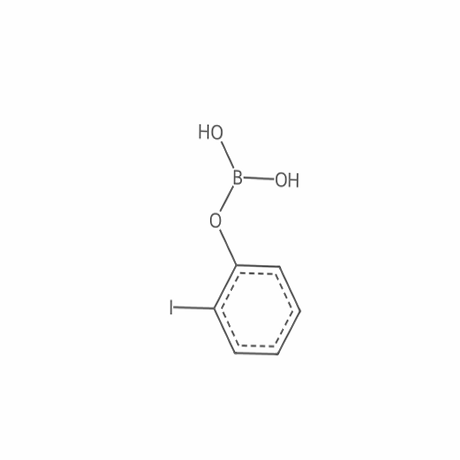 OB(O)Oc1ccccc1I